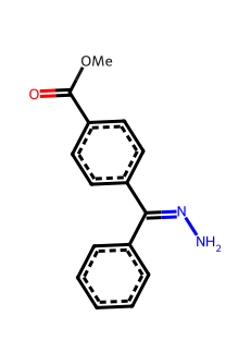 COC(=O)c1ccc(C(=NN)c2ccccc2)cc1